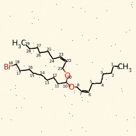 CCCCCC/C=C\COC(CCCCCCCCBr)OC/C=C\CCCCCC